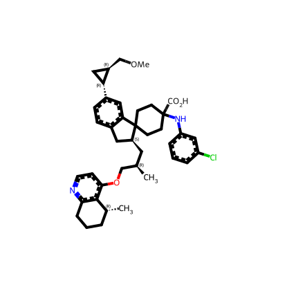 COC[C@@H]1C[C@H]1c1ccc2c(c1)C1(CCC(Nc3cccc(Cl)c3)(C(=O)O)CC1)[C@@H](C[C@@H](C)COc1ccnc3c1[C@H](C)CCC3)C2